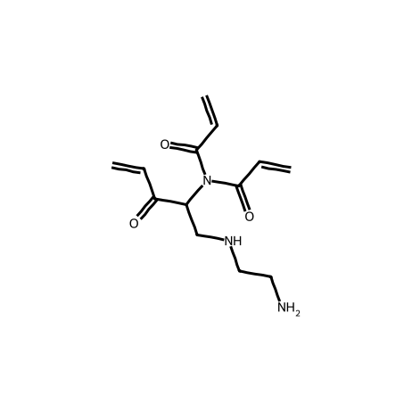 C=CC(=O)C(CNCCN)N(C(=O)C=C)C(=O)C=C